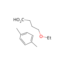 CCOCCCC(=O)O.Cc1ccc(C)cc1